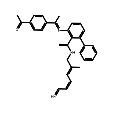 C=C(NC/C(C)=C/C=C\C=N)c1c(/N=C(\C)c2ccc(C(C)=O)cc2)cccc1-c1ccccc1